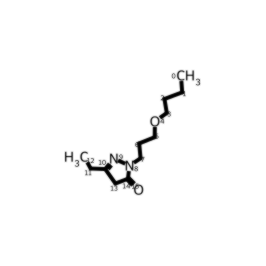 CCCCOCCCN1N=C(CC)CC1=O